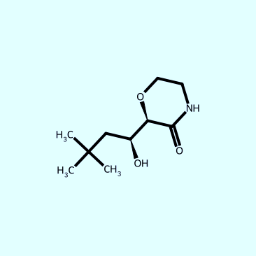 CC(C)(C)C[C@H](O)[C@H]1OCCNC1=O